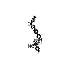 CCc1nc2ccc(-c3cnc(N4CCN(C(=O)C5CN(C6CC6)C5)CC4)nc3)cn2c1N(C)c1nc(-c2ccc(F)cc2)c(C#N)s1